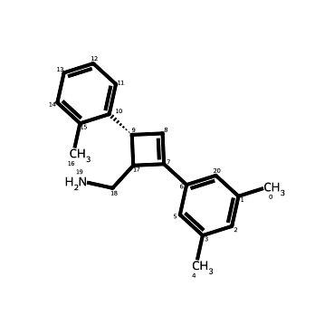 Cc1cc(C)cc(C2=C[C@@H](c3ccccc3C)C2CN)c1